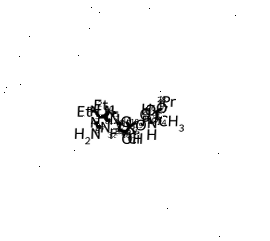 CCN(CC)c1nc(N)nc2c1ncn2[C@@H]1O[C@](CCl)(CO[PH](=O)N[C@@H](C)C(=O)OC(C)C)[C@@H](O)[C@@H]1F